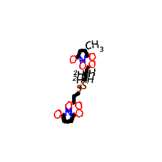 [2H]C([2H])(SSCCC(=O)ON1C(=O)CCC1=O)C([2H])([2H])C(=O)ON1C(=O)CC(C)C1=O